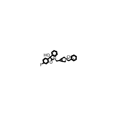 C[N+]1(Cc2ccccc2)CC2C(CNC(=O)C(O)(c3ccccc3)c3ccc(F)cc3)C2C1